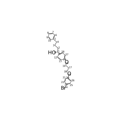 OC(CCCc1ccccc1)c1ccc(OCCCOc2ccc(Br)cc2)cc1